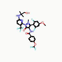 COc1cc(F)c(-c2c(NC(=O)c3ccc(OC(F)F)cc3)c(=O)n(-c3nc(NC(C)(C)CO)ccc3C(F)(F)F)n2C)c(F)c1